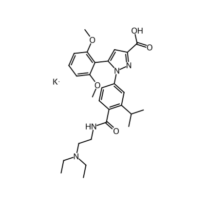 CCN(CC)CCNC(=O)c1ccc(-n2nc(C(=O)O)cc2-c2c(OC)cccc2OC)cc1C(C)C.[K]